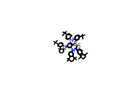 CC(C)(C)c1ccc(N2c3ccc(C(C)(C)C)cc3B3c4sc5cc6c(cc5c4N(c4ccc5c(c4)C(C)(C)CCC5(C)C)c4cc(N5c7ccc(C(C)(C)C)cc7C7(C)CCCCC57C)cc2c43)C2(C)CCC6(C)CC2)cc1